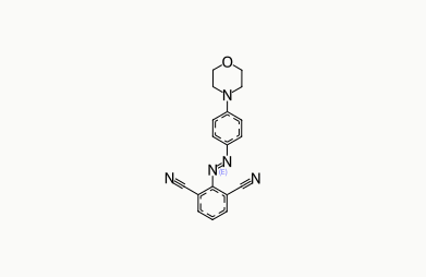 N#Cc1cccc(C#N)c1/N=N/c1ccc(N2CCOCC2)cc1